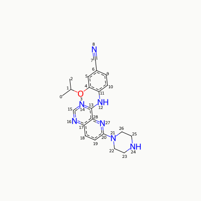 CC(C)Oc1cc(C#N)ccc1Nc1ncnc2ccc(N3CCNCC3)nc12